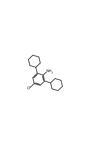 Nc1c(C2CCCCC2)cc(Cl)cc1C1CCCCC1